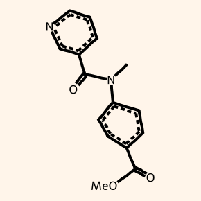 COC(=O)c1ccc(N(C)C(=O)c2cccnc2)cc1